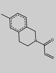 C=CC(=O)N1CCc2cc(C)ccc2C1